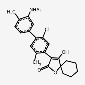 CC(=O)Nc1cc(-c2cc(C)c(C3=C(O)C4(CCCCC4)OC3=O)cc2Cl)ccc1C